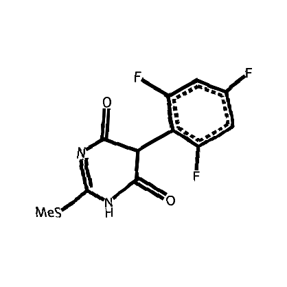 CSC1=NC(=O)C(c2c(F)cc(F)cc2F)C(=O)N1